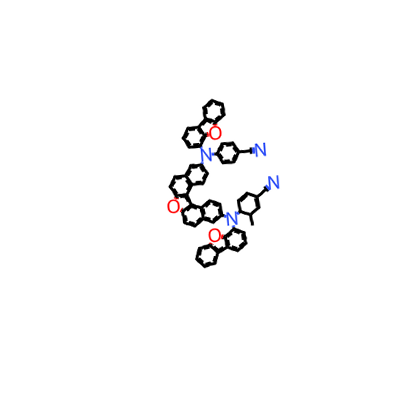 CC1C=C(C#N)C=CC1N(c1ccc2c(ccc3oc4ccc5cc(N(c6ccc(C#N)cc6)c6cccc7c6oc6ccccc67)ccc5c4c32)c1)c1cccc2c1oc1ccccc12